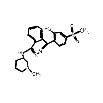 CN1CCCC(Nc2nnc(-c3ccc(S(C)(=O)=O)cc3O)c3ccccc23)C1